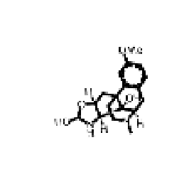 COc1ccc2c(c1)C13CCN(C)[C@H](C2)[C@]1(O)C[C@@H]1NC(O)O[C@@H]1C3